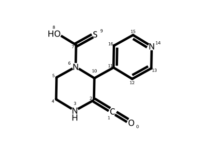 O=C=C1NCCN(C(O)=S)C1c1ccncc1